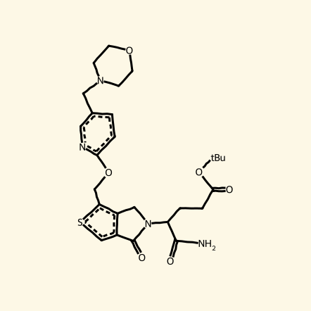 CC(C)(C)OC(=O)CCC(C(N)=O)N1Cc2c(csc2COc2ccc(CN3CCOCC3)cn2)C1=O